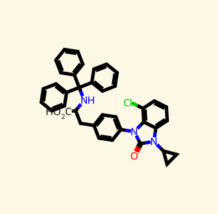 O=C(O)C(Cc1ccc(-n2c(=O)n(C3CC3)c3cccc(Cl)c32)cc1)NC(c1ccccc1)(c1ccccc1)c1ccccc1